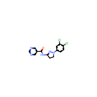 O=C(NC1=NN(c2ccc(Cl)c(Cl)c2)CC1)c1cncnc1